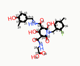 Cc1ccc(Cn2c(O)c(C(=O)NCc3ccc(O)c(C)c3)c(O)c(C(=O)NCC(=O)O)c2=O)c(F)c1